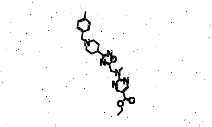 CCOC(=O)c1cnc(N(C)Cc2nc(C3CCN(Cc4ccc(C)cc4)CC3)no2)nc1